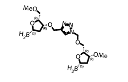 B[C@H]1C[C@@H](OC)[C@@H](COCn2cc(CO[C@@H]3C[C@H](B)O[C@@H]3COC)nn2)O1